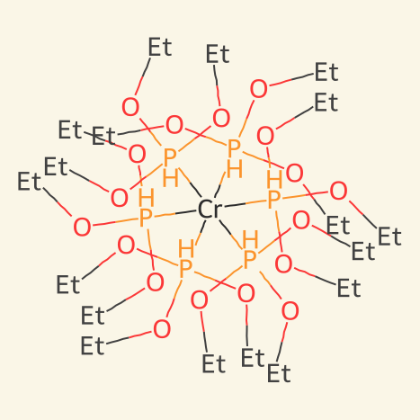 CCO[PH](OCC)(OCC)[Cr]([PH](OCC)(OCC)OCC)([PH](OCC)(OCC)OCC)([PH](OCC)(OCC)OCC)([PH](OCC)(OCC)OCC)[PH](OCC)(OCC)OCC